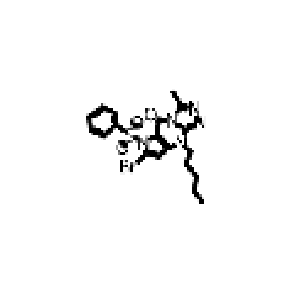 CCCCCn1c2cc(Br)n(S(=O)(=O)c3ccccc3)c2c(=O)n2c(C)nnc12